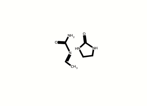 CC=NC(N)=O.O=C1NCCN1